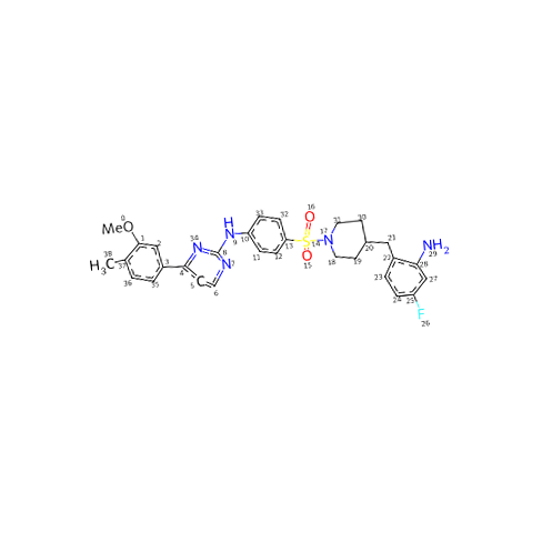 COc1cc(-c2ccnc(Nc3ccc(S(=O)(=O)N4CCC(Cc5ccc(F)cc5N)CC4)cc3)n2)ccc1C